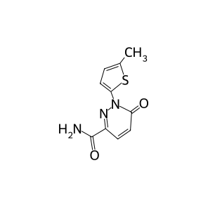 Cc1ccc(-n2nc(C(N)=O)ccc2=O)s1